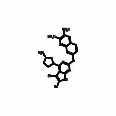 CCc1[nH]c2nc(Sc3ccc4cc(C(=O)O)c(C(=O)O)nc4c3)nc(N3CC[C@@H](N)C3)c2c1Cl